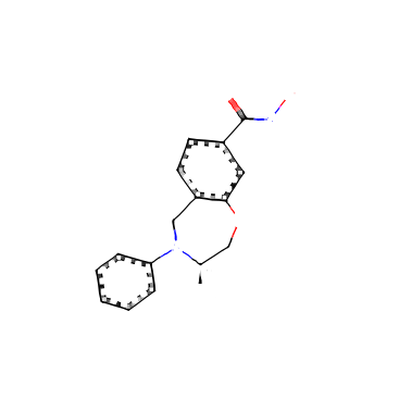 C[C@@H]1COc2cc(C(=O)NO)ccc2CN1c1ccccc1